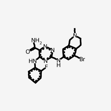 CN1CCc2c(Br)cc(Nc3nnc(C(N)=O)c(Nc4ccccc4F)n3)cc2C1